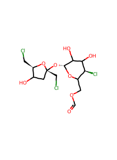 O=COCC1O[C@H](O[C@]2(CCl)CC(O)[C@@H](CCl)O2)C(O)C(O)[C@H]1Cl